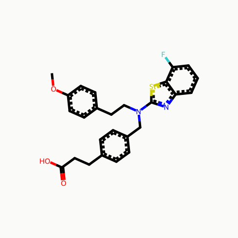 COc1ccc(CCN(Cc2ccc(CCC(=O)O)cc2)c2nc3cccc(F)c3s2)cc1